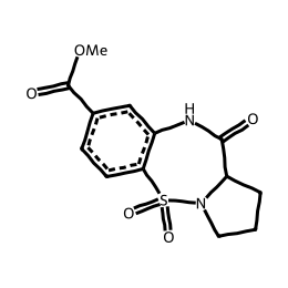 COC(=O)c1ccc2c(c1)NC(=O)C1CCCN1S2(=O)=O